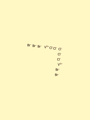 [Br-].[Br-].[Br-].[Br-].[Br-].[Cl-].[Cl-].[Cl-].[Cl-].[Cl-].[V+5].[V+5]